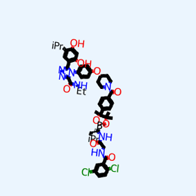 CCNC(=O)c1nnc(-c2cc(C(C)C)c(O)cc2O)n1-c1ccc(OC2CCN(C(=O)c3ccc(C4(C)OB([C@H](CC(C)C)NC(=O)CNC(=O)c5cc(Cl)ccc5Cl)OC4(C)C)cc3)CC2)cc1